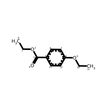 CCOC(=O)c1ccc(OCC)cc1